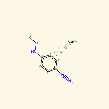 CCNc1ccc([N+]#N)cc1.[Cl-].[Cl-].[Cl-].[Cu+2]